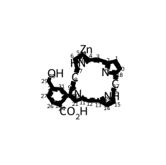 C1=Cc2cc3ccc(cc4nc(cc5ccc(cc1n2)[nH]5)C=C4)[nH]3.O=C(O)c1ccc(CO)cc1.[Zn]